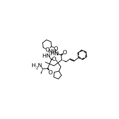 C[C@@H](N)C(=O)C(C)(C[C@@](C)(CC1CCCC1)[C@H](C/C=C/c1ccccc1)C(=O)NOC1CCCCO1)C(=O)NN